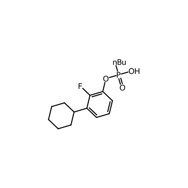 CCCCP(=O)(O)Oc1cccc(C2CCCCC2)c1F